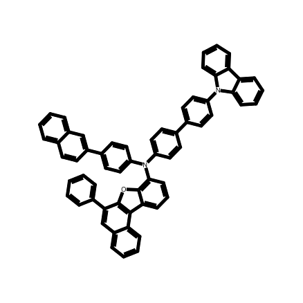 c1ccc(-c2cc3ccccc3c3c2oc2c(N(c4ccc(-c5ccc(-n6c7ccccc7c7ccccc76)cc5)cc4)c4ccc(-c5ccc6ccccc6c5)cc4)cccc23)cc1